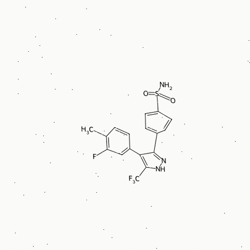 Cc1ccc(-c2c(-c3ccc(S(N)(=O)=O)cc3)n[nH]c2C(F)(F)F)cc1F